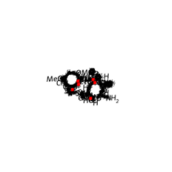 CCNC(=O)N[C@H](Cc1ccccc1)C(=O)N[C@H]1CSSC[C@@H](C(=O)N[C@H](C(N)=O)C(C)(C)SSCCC(=O)N(C)[C@@H](C)C(=O)O[C@H]2CC(=O)N(C)c3cc(cc(OC)c3Cl)C/C(C)=C/C=C/[C@@H](OC)C3C[C@H](OC(=O)N3)[C@@H](C)[C@@H]3O[C@@]23C)NC(=O)[C@H]([C@@H](C)O)NC(=O)[C@H](CCCCN)NC(=O)[C@@H](Cc2c[nH]c3ccccc23)NC(=O)[C@H](Cc2ccc(O)cc2)NC1=O